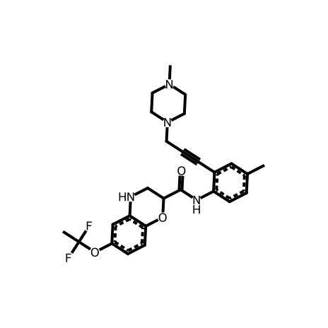 Cc1ccc(NC(=O)C2CNc3cc(OC(C)(F)F)ccc3O2)c(C#CCN2CCN(C)CC2)c1